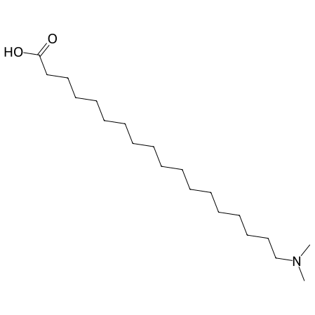 CN(C)CCCCCCCCCCCCCCCCCC(=O)O